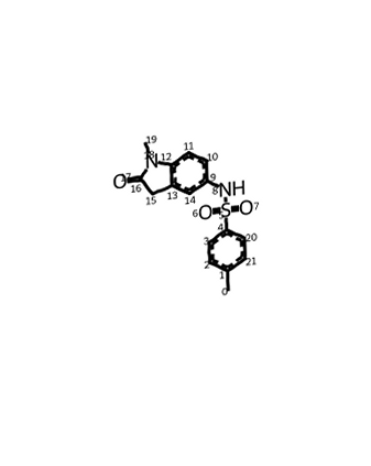 Cc1ccc(S(=O)(=O)Nc2ccc3c(c2)CC(=O)N3C)cc1